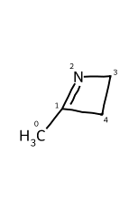 CC1=NCC1